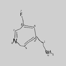 BCc1cncc(F)c1